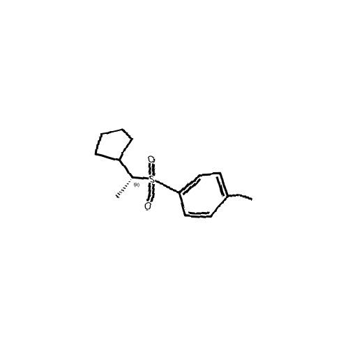 Cc1ccc(S(=O)(=O)[C@H](C)C2CCCC2)cc1